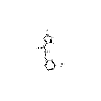 Cn1cc(C(=O)NCc2cccc(O)c2)cn1